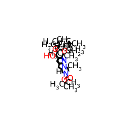 CC(C)C(C)(C)[SiH2]OC(C)(C)c1nc2c(cc1C(O)CO[Si](C)(C)C(C)(C)C)C[C@@H]1CN(C(=O)OC(C)(C)C)C[C@@H](C)N21